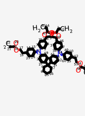 C=CC(=O)OCCc1ccc(N(c2ccc(CCOC(=O)C=C)cc2)c2ccc(C3(c4ccc(N(c5ccc(CCOC(=O)C=C)cc5)c5ccc(CCOC(=O)C=C)cc5)cc4)CCCCC3)cc2)cc1